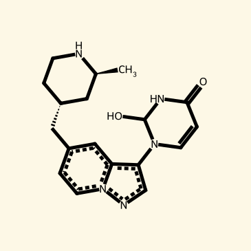 C[C@H]1C[C@H](Cc2ccn3ncc(N4C=CC(=O)NC4O)c3c2)CCN1